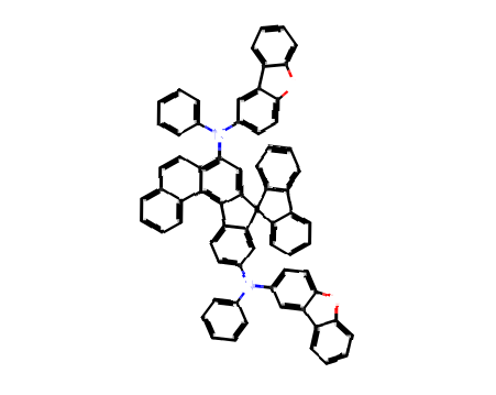 c1ccc(N(c2ccc3c(c2)C2(c4ccccc4-c4ccccc42)c2cc(N(c4ccccc4)c4ccc5oc6ccccc6c5c4)c4ccc5ccccc5c4c2-3)c2ccc3oc4ccccc4c3c2)cc1